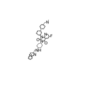 CN(C)Cc1ccc(-c2cccc(-n3c(=O)n(C4CCC(NCc5cn6ccccc6n5)CC4)c(=O)c4cc(F)cnc43)c2)cc1